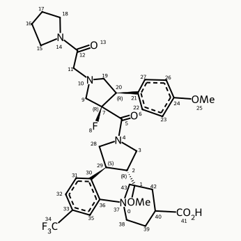 COC[C@H]1CN(C(=O)[C@]2(F)CN(CC(=O)N3CCCC3)C[C@H]2c2ccc(OC)cc2)C[C@@H]1c1ccc(C(F)(F)F)cc1N1CCC(C(=O)O)CC1